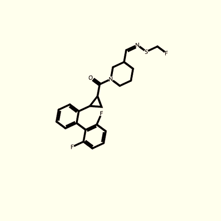 O=C(C1CC1c1ccccc1-c1c(F)cccc1F)N1CCCC(/C=N\SCF)C1